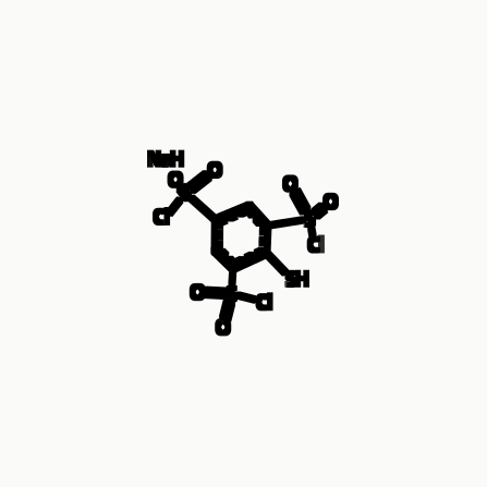 O=S(=O)(Cl)c1cc(S(=O)(=O)Cl)c(S)c(S(=O)(=O)Cl)c1.[NaH]